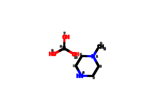 CN1CCNCC1.OB(O)O